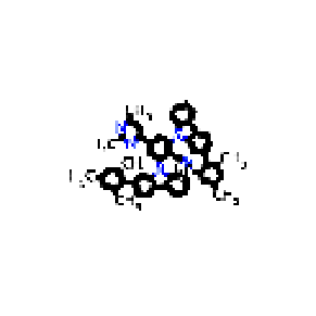 Cc1cc(C)c(-c2ccc3c4ccccc4n(-c4cc(-c5cc(C)nc(C)n5)cc(-n5c6ccccc6c6ccc(-c7c(C)cc(C)cc7C)cc65)c4C#N)c3c2)c(C)c1